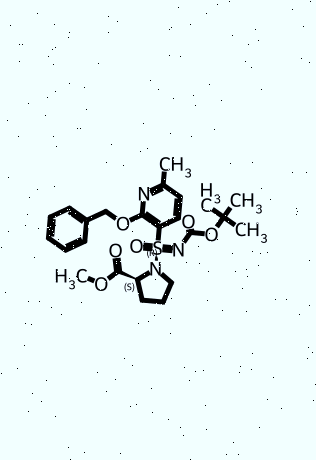 COC(=O)[C@@H]1CCCN1[S@@](=O)(=NC(=O)OC(C)(C)C)c1ccc(C)nc1OCc1ccccc1